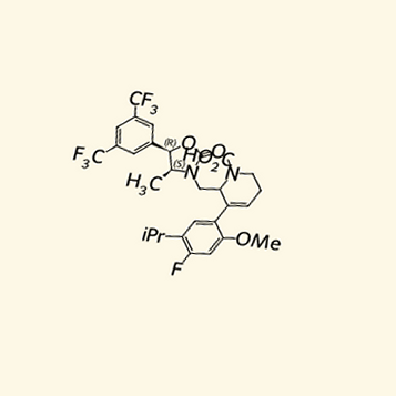 COc1cc(F)c(C(C)C)cc1C1=CCCN(C(=O)O)C1CN1C(=O)O[C@H](c2cc(C(F)(F)F)cc(C(F)(F)F)c2)[C@@H]1C